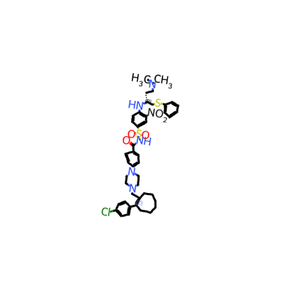 CN(C)CC[C@H](CSc1ccccc1)Nc1ccc(S(=O)(=O)NC(=O)c2ccc(N3CCN(C/C4=C(\c5ccc(Cl)cc5)CCCCCC4)CC3)cc2)cc1[N+](=O)[O-]